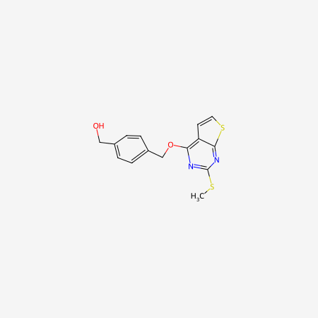 CSc1nc(OCc2ccc(CO)cc2)c2ccsc2n1